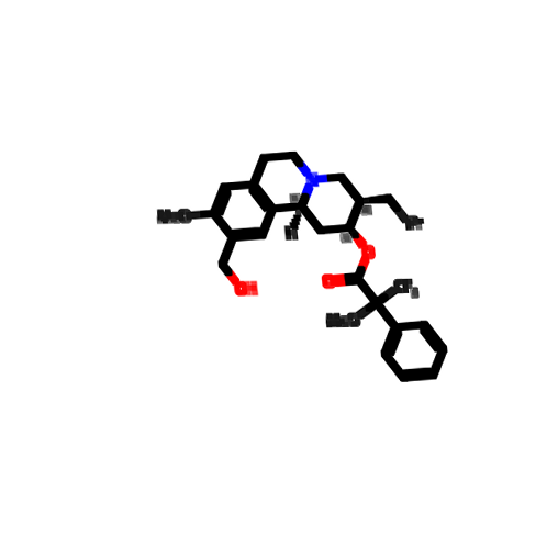 COc1cc2c(cc1CO)[C@@H]1C[C@H](OC(=O)C(OC)(c3ccccc3)C(F)(F)F)[C@H](CC(C)C)CN1CC2